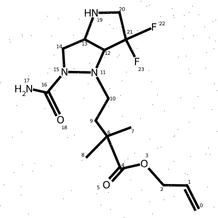 C=CCOC(=O)C(C)(C)CCN1C2C(CN1C(N)=O)NCC2(F)F